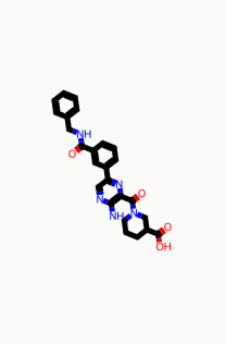 Nc1ncc(-c2cccc(C(=O)NCc3ccccc3)c2)nc1C(=O)N1CCCC(C(=O)O)C1